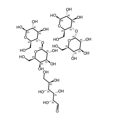 O=C[C@H](O)[C@@H](O)[C@H](O)[C@H](O)CO.OC[C@H]1O[C@@H](O[C@H]2[C@H](O)[C@@H](O)[C@H](O)O[C@@H]2CO)[C@H](O)[C@@H](O)[C@H]1O.OC[C@H]1O[C@H](O[C@H]2[C@H](O)[C@@H](O)[C@H](O)O[C@@H]2CO)[C@H](O)[C@@H](O)[C@@H]1O